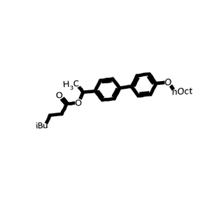 CCCCCCCCOc1ccc(-c2ccc(C(C)OC(=O)CCC(C)CC)cc2)cc1